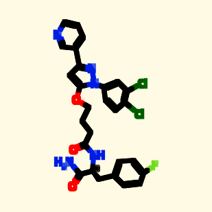 NC(=O)[C@H](Cc1ccc(F)cc1)NC(=O)CCCOc1cc(-c2cccnc2)nn1-c1ccc(Cl)c(Cl)c1